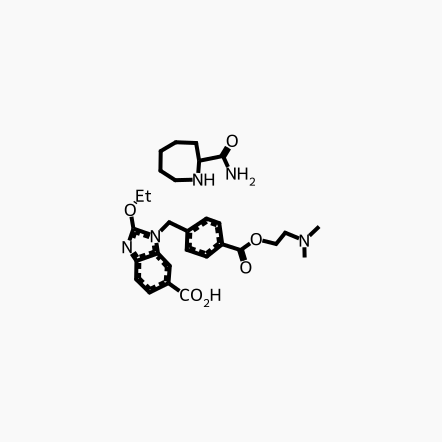 CCOc1nc2ccc(C(=O)O)cc2n1Cc1ccc(C(=O)OCCN(C)C)cc1.NC(=O)C1CCCCCN1